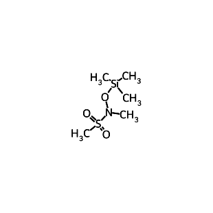 CN(O[Si](C)(C)C)S(C)(=O)=O